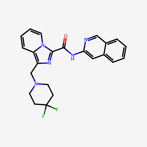 O=C(Nc1cc2ccccc2cn1)c1nc(CN2CCC(F)(F)CC2)c2ccccn12